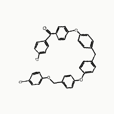 O=C(c1ccc(Cl)cc1)c1ccc(Oc2ccc(Cc3ccc(Oc4ccc(COc5ccc(Cl)cc5)cc4)cc3)cc2)cc1